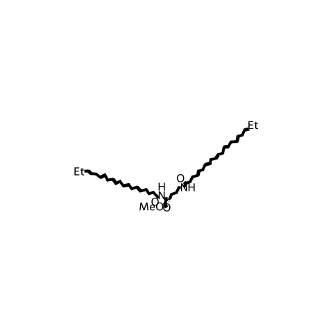 CCC=CCC=CCC=CCC=CCC=CCC=CCCC(=O)NCCCC[C@H](NC(=O)CCCC=CCC=CCC=CCC=CCC=CCC)C(=O)OC